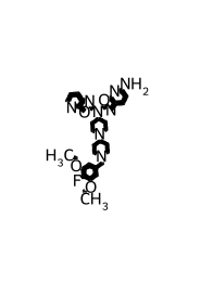 CCOc1cc(CN2CCC(N3CCC(N(c4nc5cccnc5o4)c4nc5ccc(N)nc5o4)CC3)CC2)cc(OCC)c1F